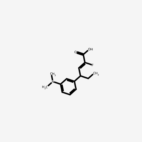 CCC(C=C(F)C(=O)O)c1cccc(N(C)C)c1